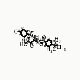 CC(C)(C)c1ccc(S(=O)(=O)NCC(NS(=O)(=O)c2ccc(Cl)cc2)C(=O)NO)cc1